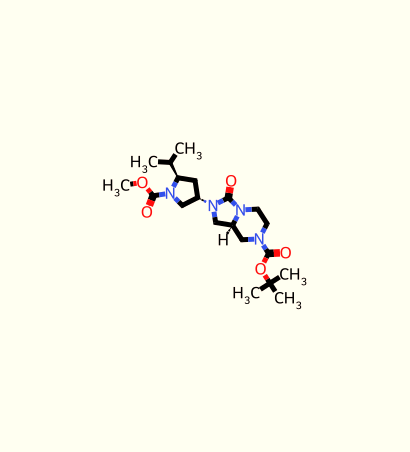 COC(=O)N1C[C@@H](N2C[C@@H]3CN(C(=O)OC(C)(C)C)CCN3C2=O)C[C@@H]1C(C)C